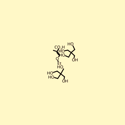 CCOC=C(C)C(=O)O.OCC(CO)(CO)CO.OCC(CO)(CO)CO